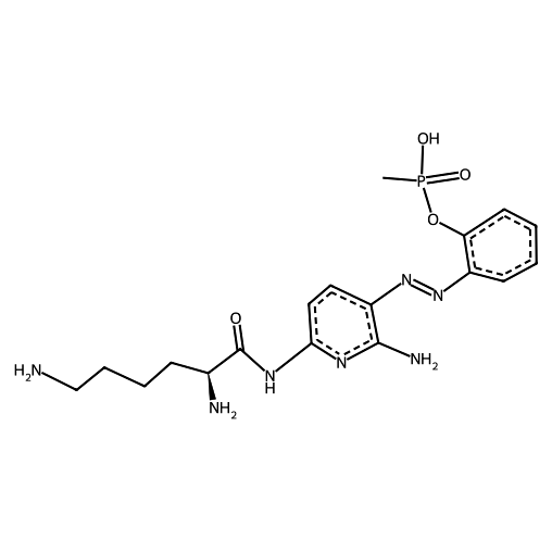 CP(=O)(O)Oc1ccccc1/N=N/c1ccc(NC(=O)[C@@H](N)CCCCN)nc1N